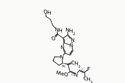 C=C(/C(=N\C=C(/C)F)OC)[C@H]1CCCN1c1ccn2nc(N)c(C(=O)NCCCO)c2n1